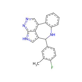 Cc1cc(C2Nc3ccccc3-c3cnnc4[nH]cc2c34)ccc1F